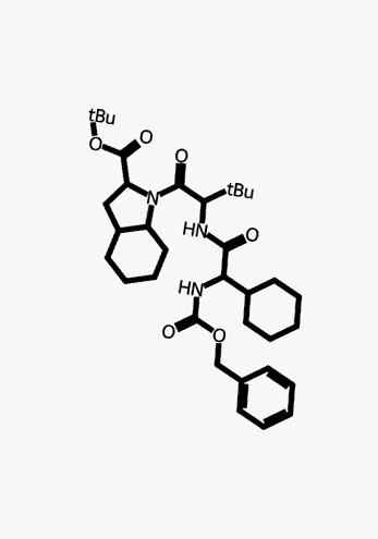 CC(C)(C)OC(=O)C1CC2CCCCC2N1C(=O)C(NC(=O)C(NC(=O)OCc1ccccc1)C1CCCCC1)C(C)(C)C